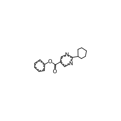 O=C(Oc1ccccc1)c1cnc(C2CCCCC2)nc1